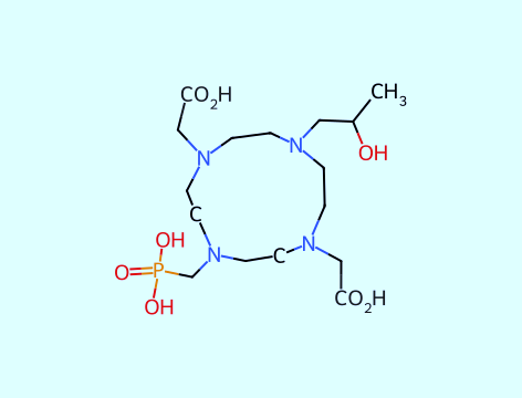 CC(O)CN1CCN(CC(=O)O)CCN(CP(=O)(O)O)CCN(CC(=O)O)CC1